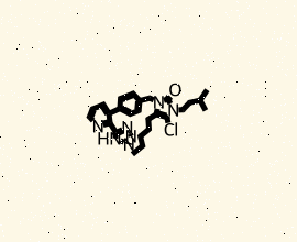 CCCCCc1c(Cl)n(CCC(C)C)c(=O)n1Cc1ccc(-c2cccnc2-c2nnn[nH]2)cc1